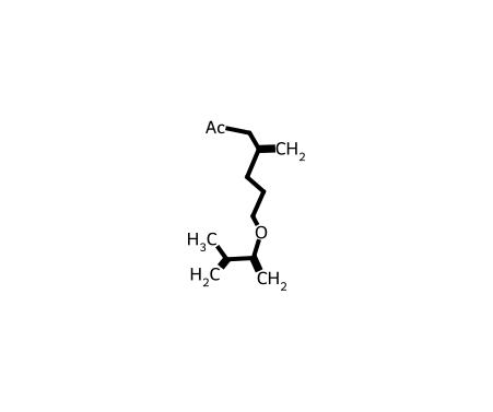 C=C(CCCOC(=C)C(=C)C)CC(C)=O